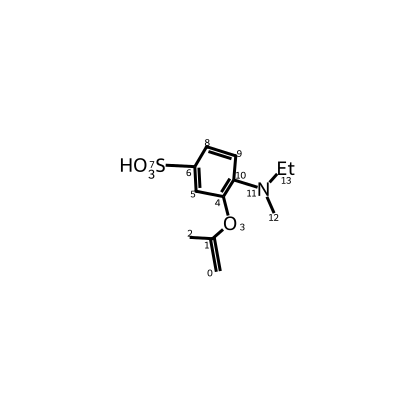 C=C(C)Oc1cc(S(=O)(=O)O)ccc1N(C)CC